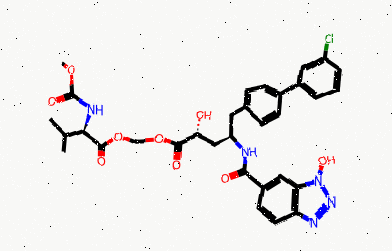 COC(=O)N[C@@H](C(=O)OCOC(=O)[C@H](O)C[C@@H](Cc1ccc(-c2cccc(Cl)c2)cc1)NC(=O)c1ccc2nnn(O)c2c1)C(C)C